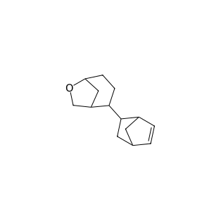 C1=CC2CC1CC2C1CCC2CC1CO2